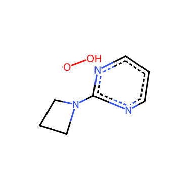 [O]O.c1cnc(N2CCC2)nc1